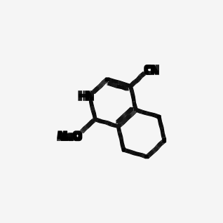 COC1NC=C(C#N)C2=C1CCCC2